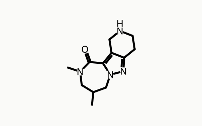 CC1CN(C)C(=O)c2c3c(nn2C1)CCNC3